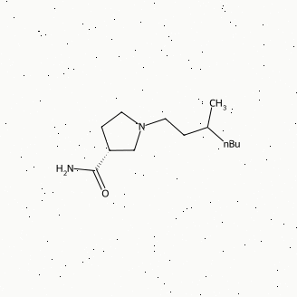 CCCCC(C)CCN1CC[C@@H](C(N)=O)C1